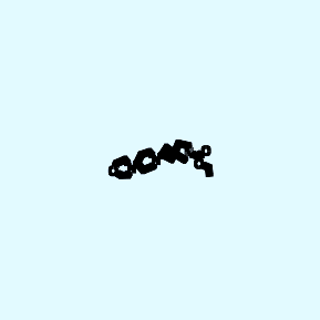 CCOC(=O)N1CCC2(CC(N3CCC(N4CCOCC4)CC3)C2)C1